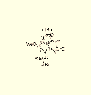 COc1cc(OC(=O)C(C)(C)C)c2cc(Cl)ccc2c1OC(=O)C(C)(C)C